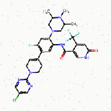 CC1CN(c2cc(F)c(C3=CCN(c4ncc(Cl)cn4)CC3)cc2NC(=O)c2c[nH]c(=O)cc2C(F)(F)F)CC(C)N1C